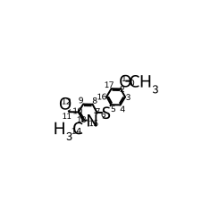 COc1ccc(Sc2ccc(C=O)c(C)n2)cc1